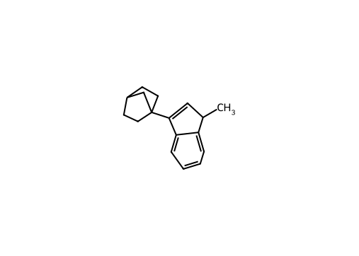 CC1C=C(C23CCC(CC2)C3)c2ccccc21